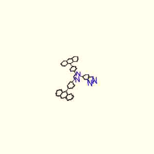 c1ccc2c(-c3ccc(-c4cc(-c5ccc(-c6c7ccccc7cc7ccccc67)cc5)nc(-c5ccc6cncnc6c5)n4)cc3)c3ccccc3cc2c1